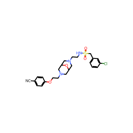 N#Cc1ccc(OCCN2CC3CN(CCNS(=O)(=O)Cc4cccc(Cl)c4)CC(C2)O3)cc1